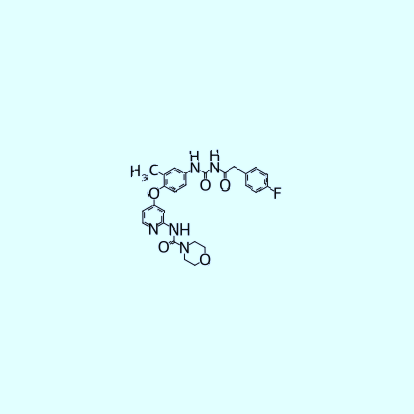 Cc1cc(NC(=O)NC(=O)Cc2ccc(F)cc2)ccc1Oc1ccnc(NC(=O)N2CCOCC2)c1